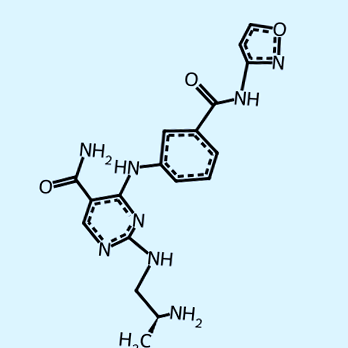 C[C@H](N)CNc1ncc(C(N)=O)c(Nc2cccc(C(=O)Nc3ccon3)c2)n1